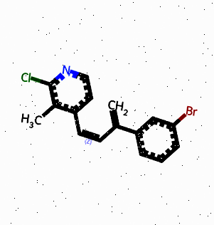 C=C(/C=C\c1ccnc(Cl)c1C)c1cccc(Br)c1